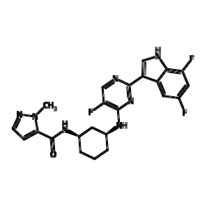 Cn1nccc1C(=O)N[C@@H]1CCC[C@H](Nc2nc(-c3c[nH]c4c(F)cc(F)cc34)ncc2F)C1